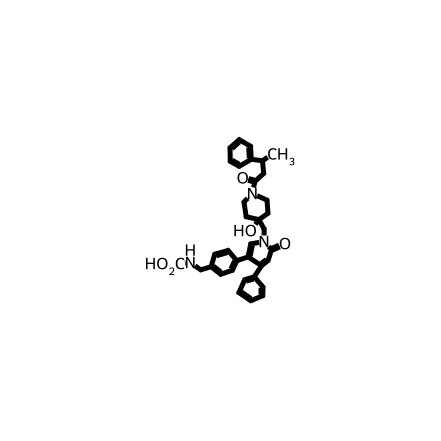 CC(CC(=O)N1CCC(O)(Cn2cc(-c3ccc(CNC(=O)O)cc3)c(-c3ccccc3)cc2=O)CC1)c1ccccc1